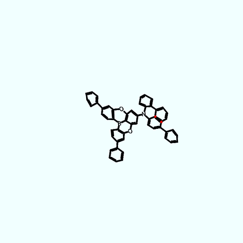 c1ccc(-c2ccc(N(c3cc4c5c(c3)Oc3cc(-c6ccccc6)ccc3B5c3ccc(-c5ccccc5)cc3O4)c3ccccc3-c3ccccc3)cc2)cc1